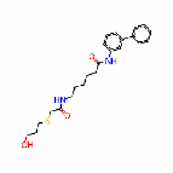 O=C(CSCCCO)NCCCCCC(=O)Nc1cccc(-c2ccccc2)c1